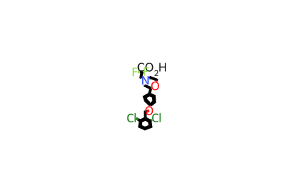 O=C(O)C(F)(F)CN1CCOC(c2ccc(OCc3c(Cl)cccc3Cl)cc2)C1